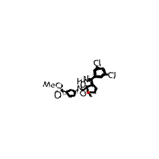 COC(=O)[C@@H]1C=C[C@H](NC(=O)C23ON=C(c4cc(Cl)cc(Cl)c4)C2CCC3(C)C)C1